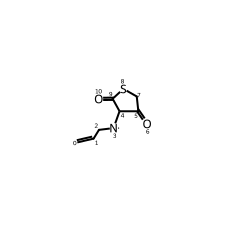 C=CC[N]C1C(=O)CSC1=O